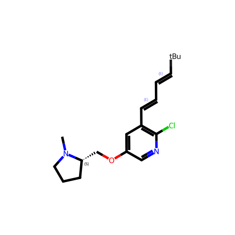 CN1CCC[C@H]1COc1cnc(Cl)c(/C=C/C=C/C(C)(C)C)c1